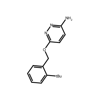 CC(C)(C)c1ccccc1COc1ccc(N)nn1